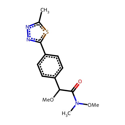 COC(C(=O)N(C)OC)c1ccc(-c2nnc(C)s2)cc1